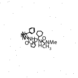 CN[C@@H](C)C(=O)N[C@H](ON1CCC[C@H]1C(=O)Nn1nnnc1-c1ccccc1)C1CCCCC1